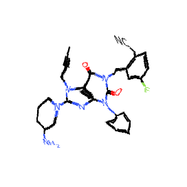 CC#CCn1c(N2CCCC(N)C2)nc2c1c(=O)n(Cc1cc(F)ccc1C#N)c(=O)n2-c1ccccc1